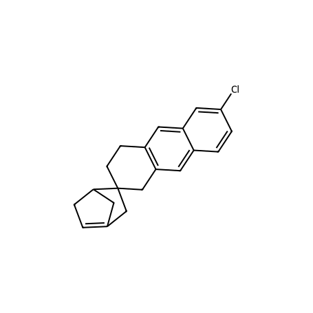 Clc1ccc2cc3c(cc2c1)CCC1(CC2=CCC1C2)C3